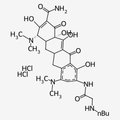 CCCCNCC(=O)Nc1cc(N(C)C)c2c(c1O)C(=O)C1=C(O)[C@]3(O)C(=O)C(C(N)=O)=C(O)[C@@H](N(C)C)C3CC1C2.Cl.Cl